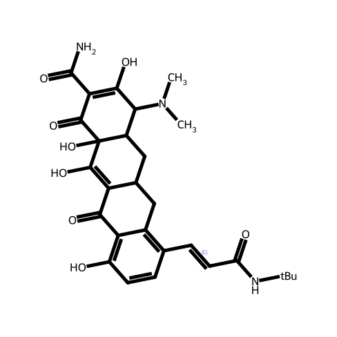 CN(C)C1C(O)=C(C(N)=O)C(=O)C2(O)C(O)=C3C(=O)c4c(O)ccc(/C=C/C(=O)NC(C)(C)C)c4CC3CC12